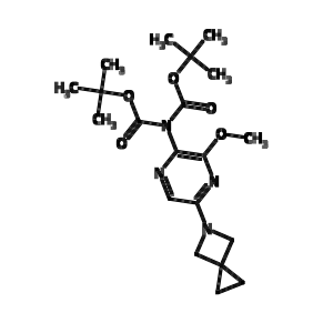 COc1nc(N2CC3(CC3)C2)cnc1N(C(=O)OC(C)(C)C)C(=O)OC(C)(C)C